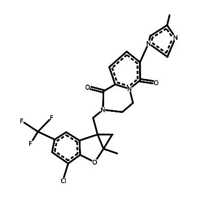 Cc1cn(-c2ccc3n(c2=O)CCN(CC24CC2(C)Oc2c(Cl)cc(C(F)(F)F)cc24)C3=O)cn1